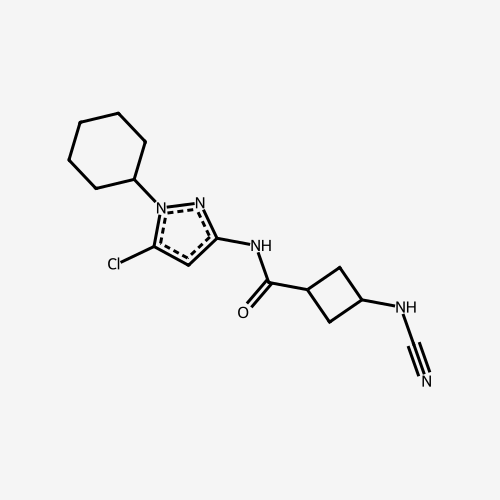 N#CNC1CC(C(=O)Nc2cc(Cl)n(C3CCCCC3)n2)C1